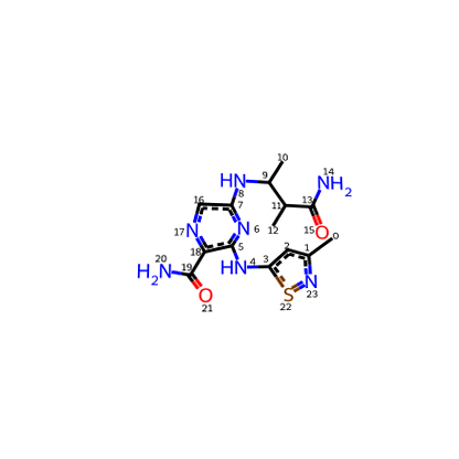 Cc1cc(Nc2nc(NC(C)C(C)C(N)=O)cnc2C(N)=O)sn1